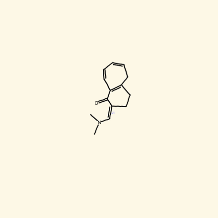 CN(C)/C=C1/CCC2=C(C=CC=CC2)C1=O